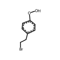 OOc1ccc(CCBr)cc1